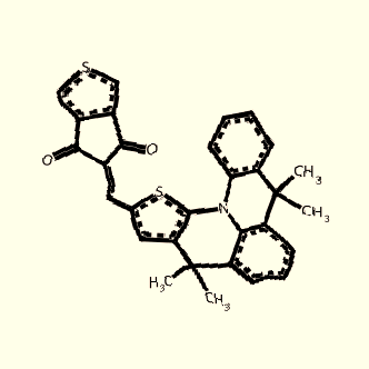 CC1(C)c2ccccc2N2c3sc(C=C4C(=O)c5cscc5C4=O)cc3C(C)(C)c3cccc1c32